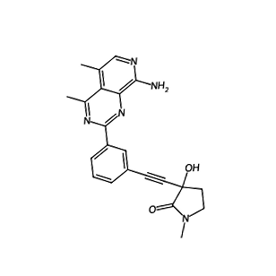 Cc1cnc(N)c2nc(-c3cccc(C#CC4(O)CCN(C)C4=O)c3)nc(C)c12